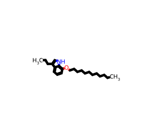 CCCCCCCCCCCCOc1cccc2c(CCC)c[nH]c12